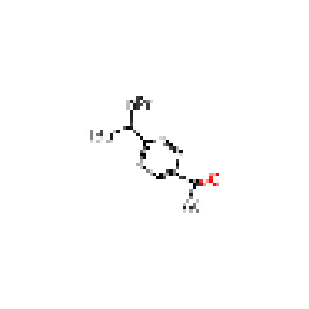 CCCC(c1ccc(C(=O)C(C)=O)cc1)C(C)(C)C